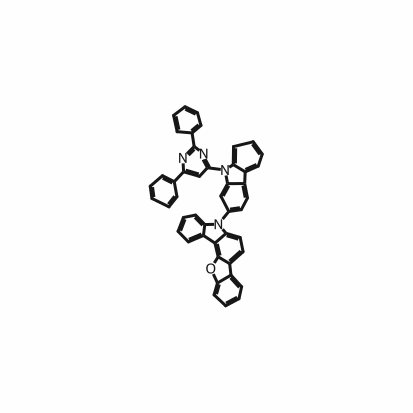 c1ccc(-c2cc(-n3c4ccccc4c4ccc(-n5c6ccccc6c6c7oc8ccccc8c7ccc65)cc43)nc(-c3ccccc3)n2)cc1